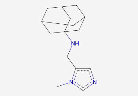 Cn1cncc1CNC12CC3CC(CC(C3)C1)C2